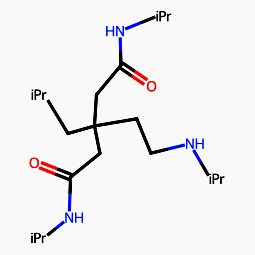 CC(C)CC(CCNC(C)C)(CC(=O)NC(C)C)CC(=O)NC(C)C